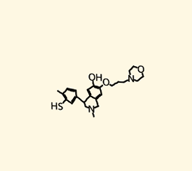 Cc1ccc(C2CN(C)Cc3cc(OCCCN4CCOCC4)c(O)cc32)cc1S